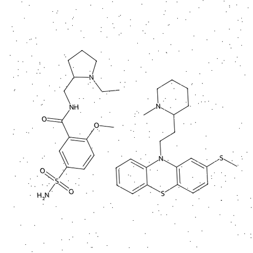 CCN1CCCC1CNC(=O)c1cc(S(N)(=O)=O)ccc1OC.CSc1ccc2c(c1)N(CCC1CCCCN1C)c1ccccc1S2